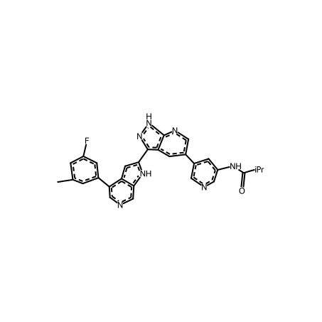 Cc1cc(F)cc(-c2cncc3[nH]c(-c4n[nH]c5ncc(-c6cncc(NC(=O)C(C)C)c6)cc45)cc23)c1